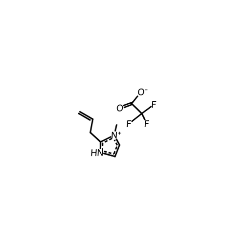 C=CCc1[nH]cc[n+]1C.O=C([O-])C(F)(F)F